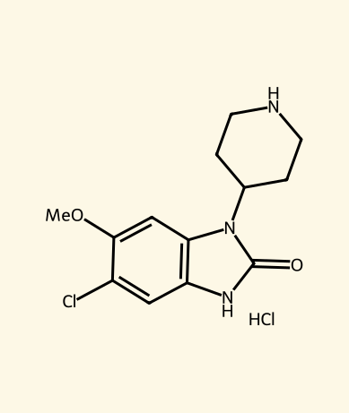 COc1cc2c(cc1Cl)[nH]c(=O)n2C1CCNCC1.Cl